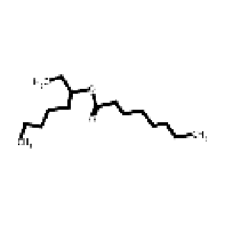 CCCCCCCC(=O)OC(CC)CCCCC